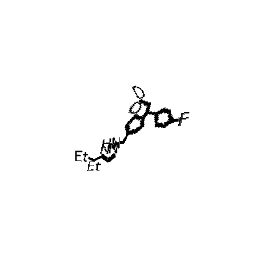 CCC(CC)c1ccn(NCc2ccc3c(-c4ccc(F)cc4)cc(=O)oc3c2)n1